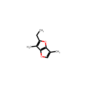 CCc1oc2c(C)coc2c1C